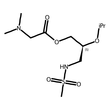 CC(C)O[C@@H](CNS(C)(=O)=O)COC(=O)CN(C)C